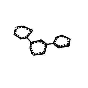 c1cc(-c2cncc(-c3ccncc3)c2)ccn1